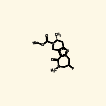 C[C@@H]1Cc2nn3c(c2CN1C(=O)OC(C)(C)C)C(=O)N(C)CC(F)C3